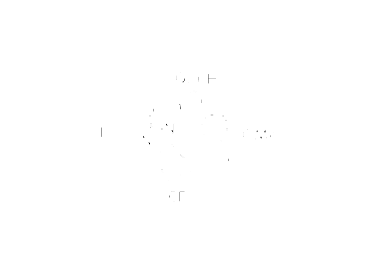 CCOc1cc([C@H](CS(C)(=O)=O)n2c(=O)n(CC(F)(F)F)c3cc(C(F)(F)F)ccc32)ccc1OC